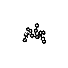 c1ccc(-c2ccc(-n3c4c(ccc5c4c4ccc6ccccc6c4n5-c4ccc5ccccc5c4)c4ccc5c(c6ccc7ccccc7c6n5-c5nccc(-c6ccccc6)n5)c43)cc2)cc1